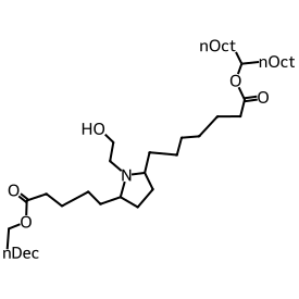 CCCCCCCCCCCOC(=O)CCCCC1CCC(CCCCCCC(=O)OC(CCCCCCCC)CCCCCCCC)N1CCO